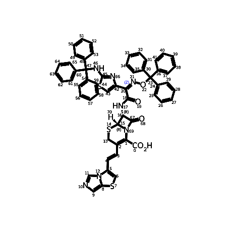 O=C(O)C1=C(C=Cc2csc3cncn23)CS[C@@H]2[C@H](NC(=O)/C(=N\OC(c3ccccc3)(c3ccccc3)c3ccccc3)c3csc(NC(c4ccccc4)(c4ccccc4)c4ccccc4)n3)C(=O)N12